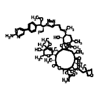 CO[C@H](c1ccc(-c2cnc(N)nc2)cc1)[C@@H](CF)n1cc(CCN(C)[C@H]2C[C@@H](C)O[C@@H](O[C@@H]3[C@@H](C)C([C@H]4C[C@@](C)(OC)[C@@H](O)[C@H](C)O4)[C@@H](C)C(=O)O[C@H](I)[C@@](C)(OC(N)=O)[C@H](CNCC4(C)COC4)[C@@H](C)C(=O)[C@H](C)C[C@@]3(C)OC)[C@@H]2O)nn1